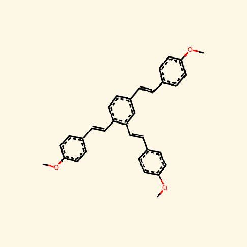 COc1ccc(C=Cc2ccc(C=Cc3ccc(OC)cc3)c(C=Cc3ccc(OC)cc3)c2)cc1